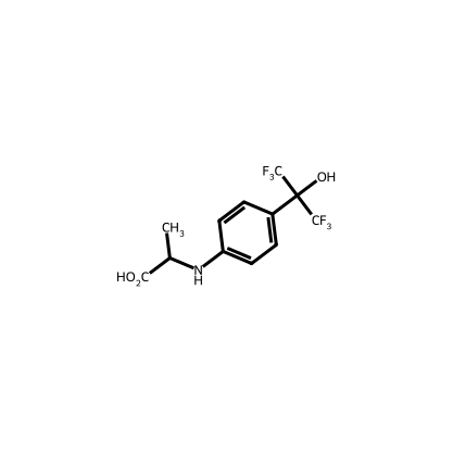 CC(Nc1ccc(C(O)(C(F)(F)F)C(F)(F)F)cc1)C(=O)O